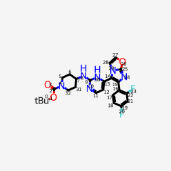 CC(C)(C)OC(=O)N1CCC(NC2N=CC=C(c3c(-c4ccc(F)cc4F)nc4occn34)N2)CC1